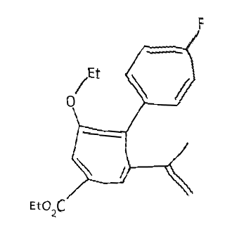 C=C(C)c1cc(C(=O)OCC)cc(OCC)c1-c1ccc(F)cc1